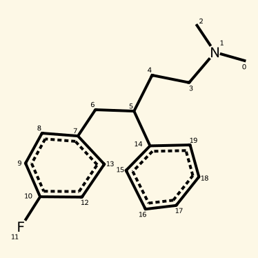 CN(C)CCC(Cc1ccc(F)cc1)c1ccccc1